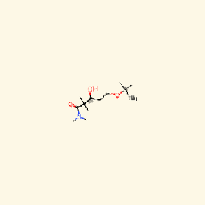 CN(C)C(=O)C(C)(C)[C@@H](O)CCO[Si](C)(C)C(C)(C)C